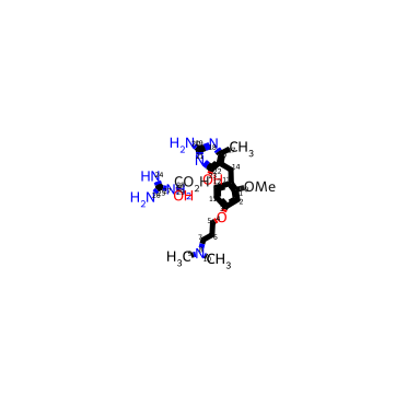 COc1cc(OCCCN(C)C)ccc1Cc1c(C)nc(N)nc1O.N=C(N)N.O=C(O)O